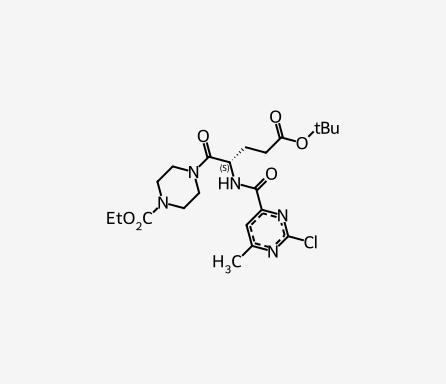 CCOC(=O)N1CCN(C(=O)[C@H](CCC(=O)OC(C)(C)C)NC(=O)c2cc(C)nc(Cl)n2)CC1